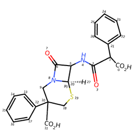 O=C(O)C(C(=O)NC1C(=O)N2CC(C(=O)O)(c3ccccc3)CS[C@H]12)c1ccccc1